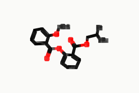 CCCCCCCCOc1ccccc1C(=O)Oc1ccccc1C(=O)OCC(CC)CCCC